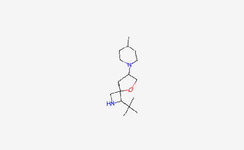 CC1CCN(C2COC3(CNC3C(C)(C)C)C2)CC1